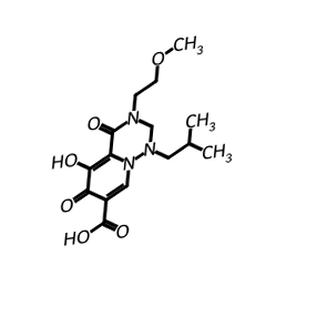 COCCN1CN(CC(C)C)n2cc(C(=O)O)c(=O)c(O)c2C1=O